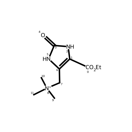 CCOC(=O)c1[nH]c(=O)[nH]c1C[N+](C)(C)C